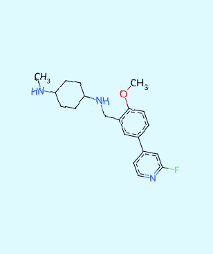 CNC1CCC(NCc2cc(-c3ccnc(F)c3)ccc2OC)CC1